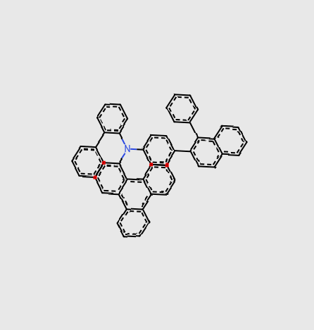 c1ccc(-c2ccccc2N(c2ccc(-c3ccc4ccccc4c3-c3ccccc3)cc2)c2cccc3c4ccccc4c4ccccc4c23)cc1